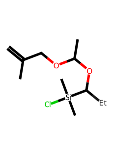 C=C(C)COC(C)OC(CC)[Si](C)(C)Cl